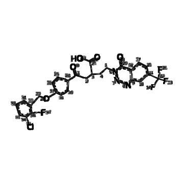 O=C(CC(CCn1nnc2cc(C(F)(F)F)ccc2c1=O)C(=O)O)c1ccc(OCc2cccc(Cl)c2F)cc1